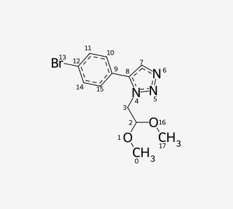 COC(Cn1nncc1-c1ccc(Br)cc1)OC